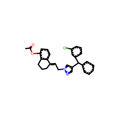 CC(=O)Oc1cccc2c1CCCC2=CCn1cc(C(c2ccccc2)c2cccc(Cl)c2)cn1